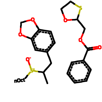 CCCCCCCC[S+]([O-])C(C)Cc1ccc2c(c1)OCO2.O=C(OCC1OCCS1)c1ccccc1